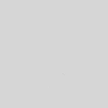 O=C(O)C(=O)N[C@H](Cc1ccc(OCC2CCCCC2)cc1)C(=O)O